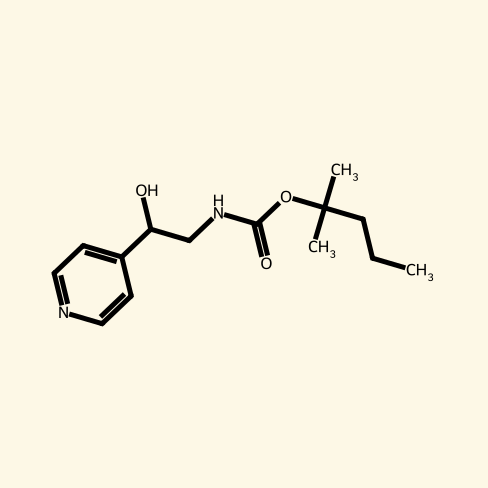 CCCC(C)(C)OC(=O)NCC(O)c1ccncc1